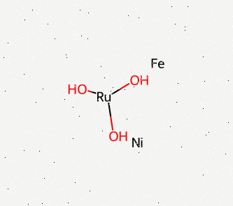 [Fe].[Ni].[OH][Ru]([OH])[OH]